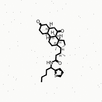 CCCCC(NC(=O)C[C@@H](C)[C@H]1CC[C@H]2[C@@H]3C(=O)C[C@@H]4CC(=O)CC[C@]4(C)[C@H]3CC[C@]12C)c1cccs1